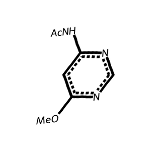 COc1cc(NC(C)=O)ncn1